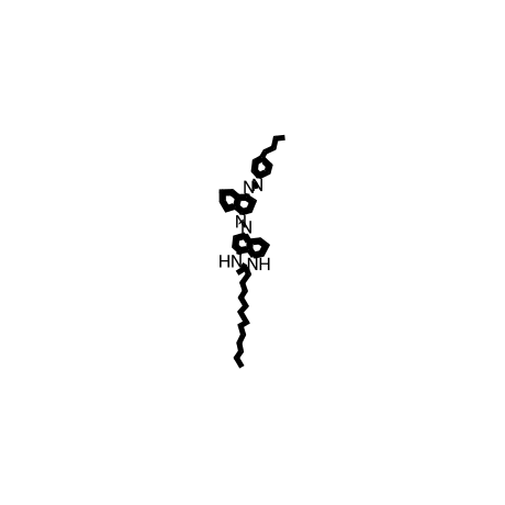 CCCCCCCCCCCCCC1(C)Nc2cccc3c(/N=N/c4ccc(/N=N/c5ccc(CCCC)cc5)c5ccccc45)ccc(c23)N1